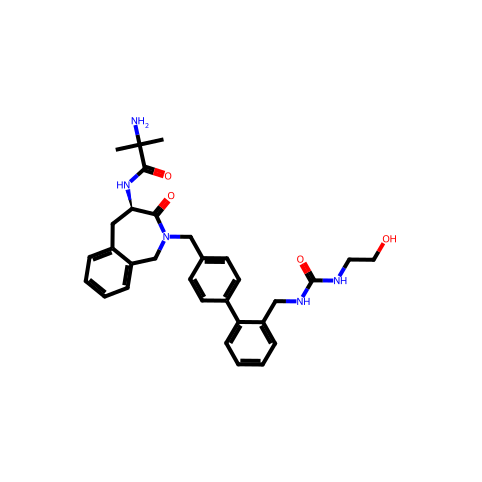 CC(C)(N)C(=O)N[C@@H]1Cc2ccccc2CN(Cc2ccc(-c3ccccc3CNC(=O)NCCO)cc2)C1=O